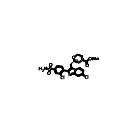 COC(=O)N1CCO[C@@H](Cc2c(-c3ccc(S(N)(=O)=O)cc3Cl)nc3cc(Cl)ccn23)C1